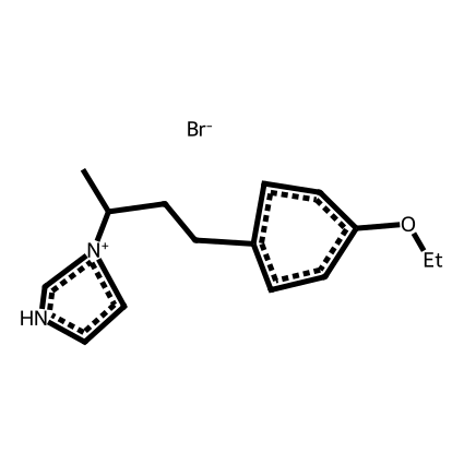 CCOc1ccc(CCC(C)[n+]2cc[nH]c2)cc1.[Br-]